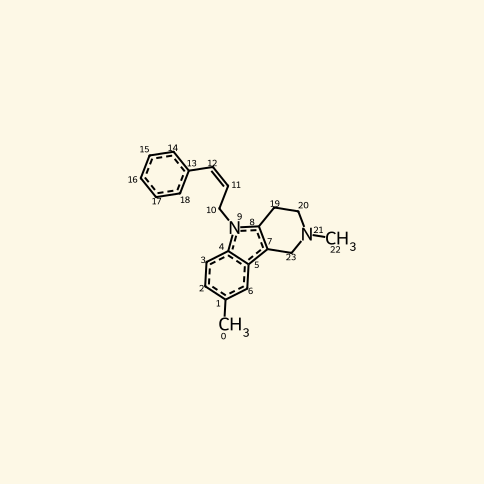 Cc1ccc2c(c1)c1c(n2C/C=C\c2ccccc2)CCN(C)C1